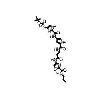 CCCNC(=O)c1nc(NC(=O)CCNC(=O)c2cc(NC(=O)c3nc(NC(=O)OC(C)(C)C)cn3C)cn2C)cn1C